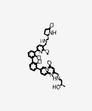 COc1nc(-c2cccc(-c3cccc(-c4ccc5nc(CNC[C@@H](C)O)cc(=O)n5c4)c3Cl)c2Cl)ccc1CNC[C@H]1CCC(=O)N1